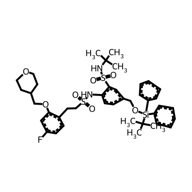 CC(C)(C)NS(=O)(=O)c1cc(CO[Si](c2ccccc2)(c2ccccc2)C(C)(C)C)ccc1NS(=O)(=O)CCc1ccc(F)cc1OCC1CCOCC1